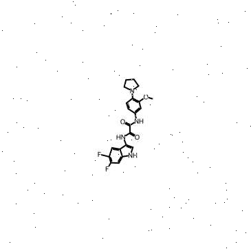 COc1cc(NC(=O)C(=O)Nc2c[nH]c3cc(F)c(F)cc23)ccc1N1CCCC1